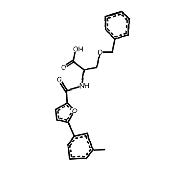 Cc1cccc(-c2ccc(C(=O)NC(COCc3ccccc3)C(=O)O)o2)c1